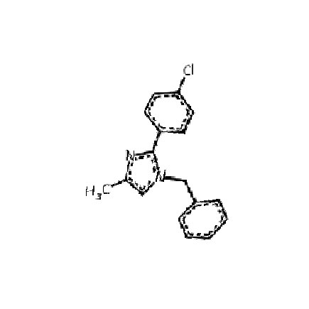 Cc1cn(Cc2ccccc2)c(-c2ccc(Cl)cc2)n1